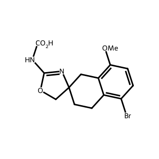 COc1ccc(Br)c2c1CC1(CC2)COC(NC(=O)O)=N1